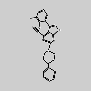 Cc1cccc(-c2n[nH]c3nc(N4CC[C](c5ccccc5)CC4)nc(C#N)c23)c1Cl